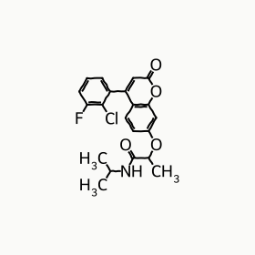 CC(C)NC(=O)C(C)Oc1ccc2c(-c3cccc(F)c3Cl)cc(=O)oc2c1